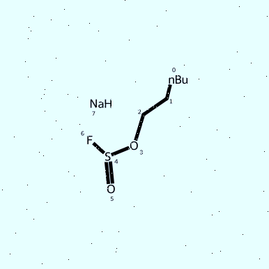 CCCCCCOS(=O)F.[NaH]